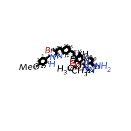 COc1ccc(CNc2nc3cc(CC[C@@]45C[C@@H]4[C@@H](n4ccc6c(N)ncnc64)[C@@H]4OC(C)(C)O[C@@H]45)ccc3cc2Br)cc1